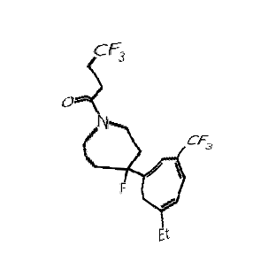 CCC1=CC=C(C(F)(F)F)C=C(C2(F)CCN(C(=O)CCC(F)(F)F)CC2)C1